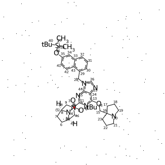 CC(C)(C)OC(=O)N1[C@@H]2CC[C@H]1CN(c1nc(OCC34CCCN3CCC4)c3ncn(Cc4cccc5cc(O[Si](C)(C)C(C)(C)C)ccc45)c3n1)C2